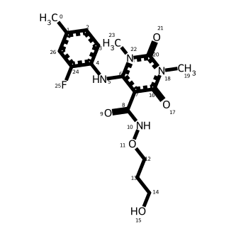 Cc1ccc(Nc2c(C(=O)NOCCCO)c(=O)n(C)c(=O)n2C)c(F)c1